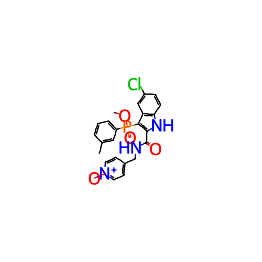 COP(=O)(c1cccc(C)c1)c1c(C(=O)NCc2cc[n+]([O-])cc2)[nH]c2ccc(Cl)cc12